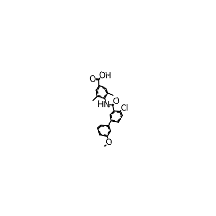 COc1cccc(-c2ccc(Cl)c(C(=O)Nc3c(C)cc(C(=O)O)cc3C)c2)c1